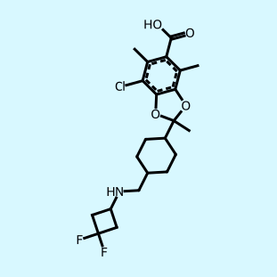 Cc1c(Cl)c2c(c(C)c1C(=O)O)OC(C)(C1CCC(CNC3CC(F)(F)C3)CC1)O2